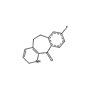 O=C1C2=C(C=CCN2)CCc2cc(F)ccc21